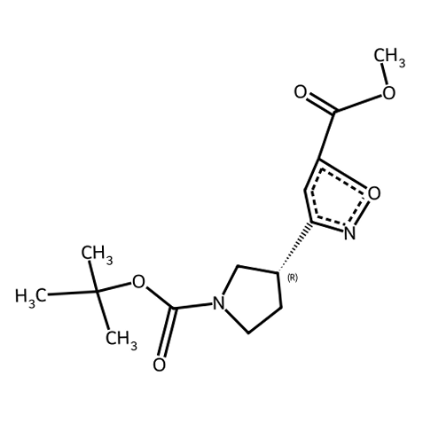 COC(=O)c1cc([C@@H]2CCN(C(=O)OC(C)(C)C)C2)no1